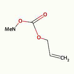 C=CCOC(=O)ONC